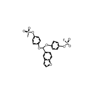 O=S(=O)(F)Oc1ccc(OC(Oc2ccc(OS(=O)(=O)F)cc2)c2ccc3occc3c2)cc1